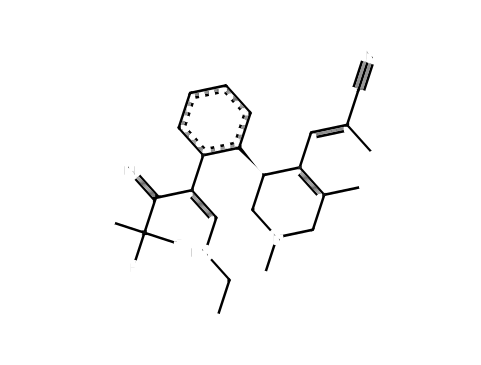 CCN/C=C(\C(=N)C(F)(F)F)c1ccccc1[C@@H]1CN(C)CC(C)=C1/C=C(\C)C#N